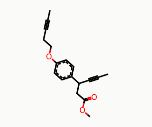 CC#CCCOc1ccc(C(C#CC)CC(=O)OC)cc1